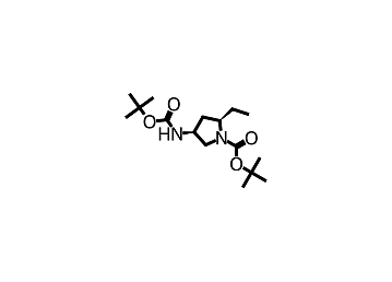 CC[C@@H]1C[C@H](NC(=O)OC(C)(C)C)CN1C(=O)OC(C)(C)C